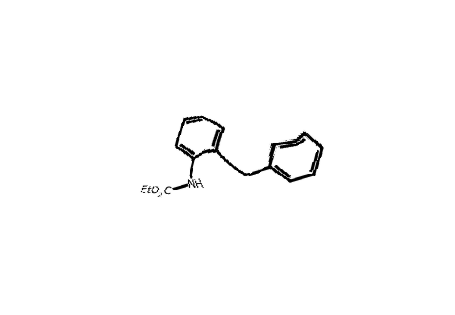 CCOC(=O)Nc1ccccc1Cc1ccccc1